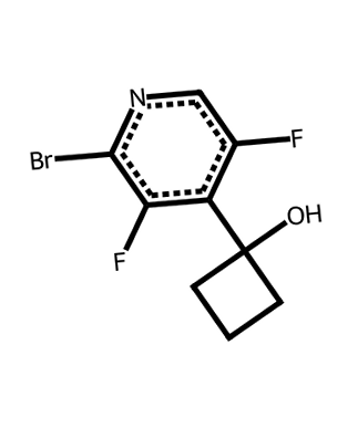 OC1(c2c(F)cnc(Br)c2F)CCC1